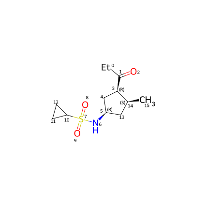 CCC(=O)[C@@H]1C[C@H](NS(=O)(=O)C2CC2)C[C@@H]1C